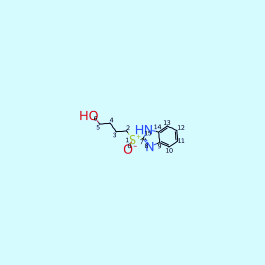 [O-][S+](CCCCO)c1nc2ccccc2[nH]1